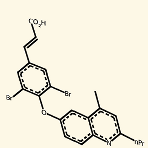 CCCc1cc(C)c2cc(Oc3c(Br)cc(C=CC(=O)O)cc3Br)ccc2n1